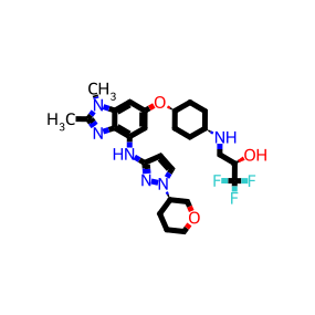 Cc1nc2c(Nc3ccn([C@H]4CCCOC4)n3)cc(O[C@H]3CC[C@@H](NC[C@@H](O)C(F)(F)F)CC3)cc2n1C